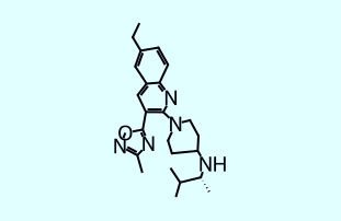 CCc1ccc2nc(N3CCC(N[C@H](C)C(C)C)CC3)c(-c3nc(C)no3)cc2c1